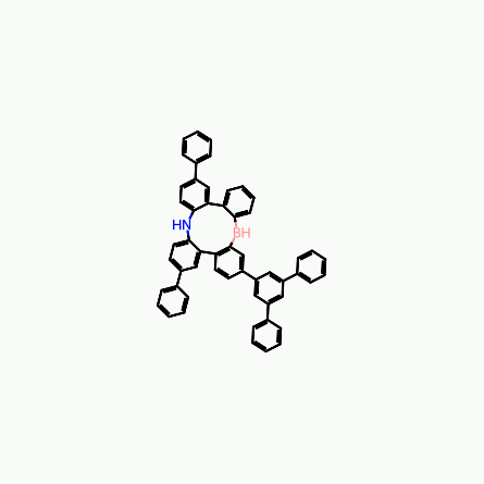 B1c2ccccc2-c2cc(-c3ccccc3)ccc2Nc2ccc(-c3ccccc3)cc2-c2ccc(-c3cc(-c4ccccc4)cc(-c4ccccc4)c3)cc21